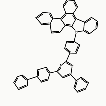 c1ccc(-c2ccc(-c3cc(-c4ccccc4)nc(-c4ccc(-n5c6ccccc6c6c7ccccc7c7c8ccccc8ccc7c65)cc4)n3)cc2)cc1